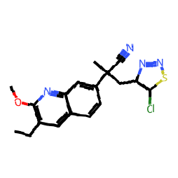 CCc1cc2ccc(C(C)(C#N)CC3N=NSC3Cl)cc2nc1OC